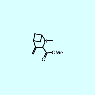 C=C1C2CC(C2)N(C)C1C(=O)OC